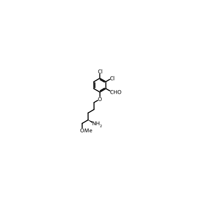 COC[C@H](N)CCCOc1ccc(Cl)c(Cl)c1C=O